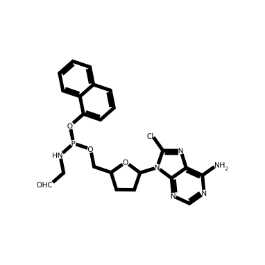 Nc1ncnc2c1nc(Cl)n2C1CCC(COP(NCC=O)Oc2cccc3ccccc23)O1